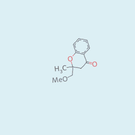 COCC1(C)CC(=O)c2ccccc2O1